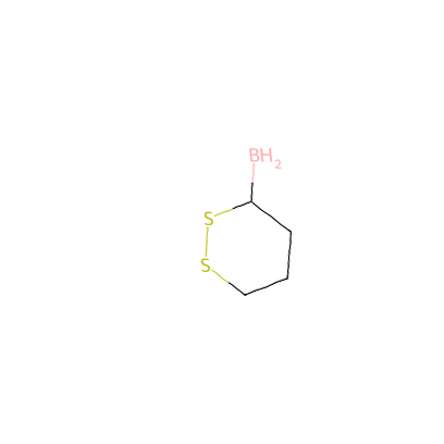 BC1CCCSS1